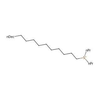 CCCCCCCCCCCCCCCCCCCC[S+](CCC)CCC